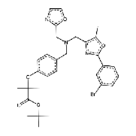 Cc1oc(-c2cccc(Br)c2)nc1CN(Cc1ccc(OC(C)(C)C(=O)OC(C)(C)C)cc1)Cc1ncco1